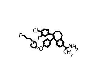 C=C(N)c1ccc2c(c1)CCCC(c1ccc(Cl)c(F)c1)=C2c1ccc(O[C@H]2CCN(CCCF)C2)cc1